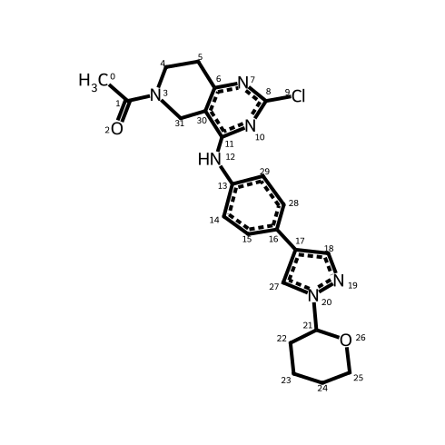 CC(=O)N1CCc2nc(Cl)nc(Nc3ccc(-c4cnn(C5CCCCO5)c4)cc3)c2C1